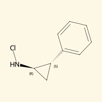 ClN[C@@H]1C[C@H]1c1ccccc1